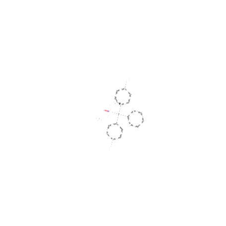 COP(=O)(OC)C(c1ccc(F)cc1)(c1ccc(Cl)cc1)c1ccccc1F